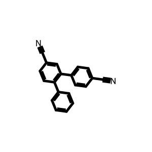 N#Cc1ccc(-c2cc(C#N)ccc2-c2ccccc2)cc1